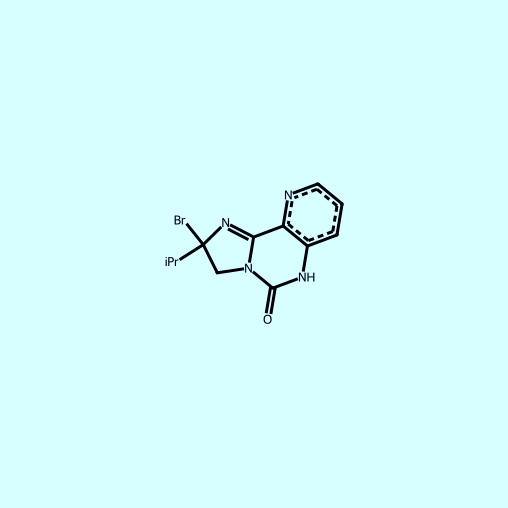 CC(C)C1(Br)CN2C(=O)Nc3cccnc3C2=N1